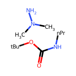 CCCNC(=O)OC(C)(C)C.CN(C)N